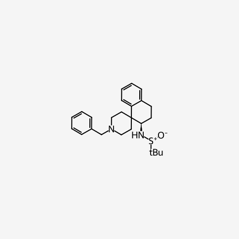 CC(C)(C)[S+]([O-])N[C@@H]1CCc2ccccc2C12CCN(Cc1ccccc1)CC2